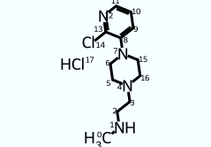 CNCCN1CCN(c2cccnc2Cl)CC1.Cl